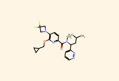 CC(C)CC(c1cccnn1)N(C)C(=O)c1ccc(N2CC(F)(F)C2)c(OCC2CC2)n1